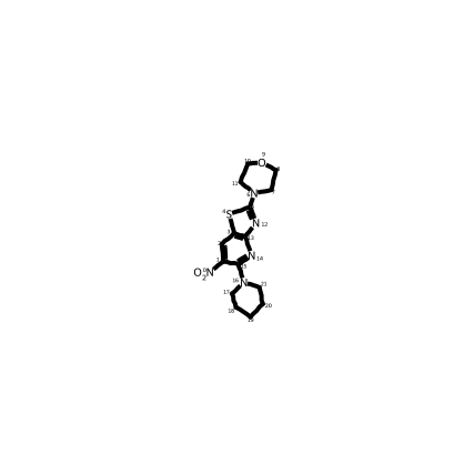 O=[N+]([O-])c1cc2sc(N3CCOCC3)nc2nc1N1CCCCC1